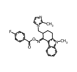 Cc1nccn1CC1CCc2c(c3ccccc3n2C)C1=NOC(=O)c1ccc(F)cc1